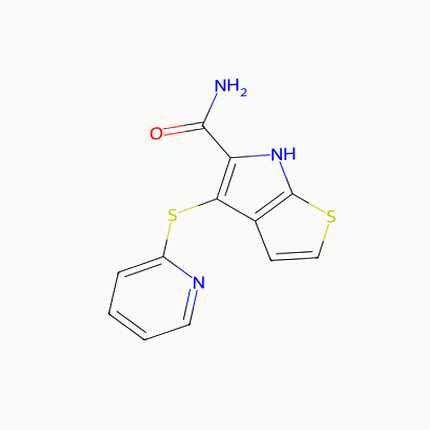 NC(=O)c1[nH]c2sccc2c1Sc1ccccn1